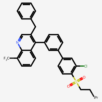 CC(C)CCS(=O)(=O)c1ccc(-c2cccc(-c3c(Cc4ccccc4)cnc4c(C(F)(F)F)cccc34)c2)cc1Cl